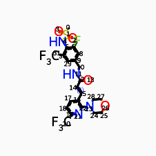 CS(=O)(=O)Nc1c(F)cc(CNC(=O)/C=C/c2ccc(C(F)(F)F)nc2N2CCOCC2)cc1C(F)(F)F